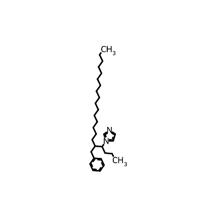 CCCCCCCCCCCCCCCCC(Cc1ccccc1)C(CCC)n1ccnc1